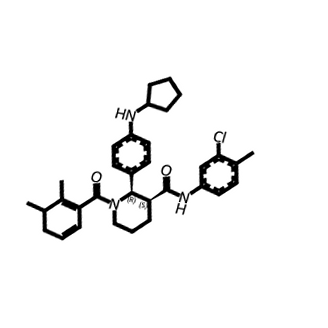 CC1=C(C(=O)N2CCC[C@H](C(=O)Nc3ccc(C)c(Cl)c3)[C@@H]2c2ccc(NC3CCCC3)cc2)C=CCC1C